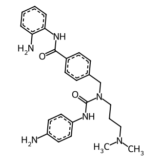 CN(C)CCCN(Cc1ccc(C(=O)Nc2ccccc2N)cc1)C(=O)Nc1ccc(N)cc1